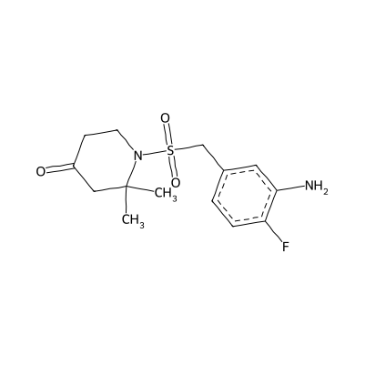 CC1(C)CC(=O)CCN1S(=O)(=O)Cc1ccc(F)c(N)c1